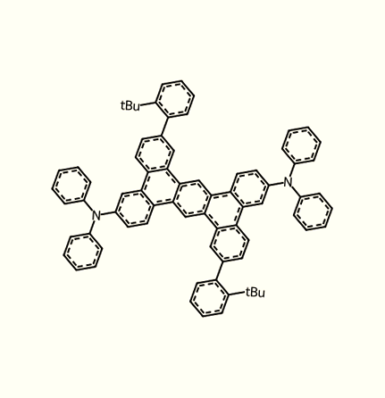 CC(C)(C)c1ccccc1-c1ccc2c(c1)c1cc3c4ccc(N(c5ccccc5)c5ccccc5)cc4c4ccc(-c5ccccc5C(C)(C)C)cc4c3cc1c1ccc(N(c3ccccc3)c3ccccc3)cc21